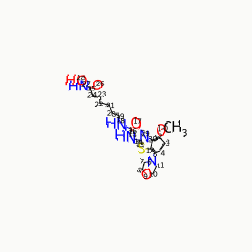 COc1ccc(N2CCOCC2)c2sc(NC(=O)NCCCCCCC(=O)NO)nc12